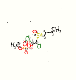 C=CCC[S+]([O-])C(Cl)C(Cl)OP(=O)(O)OC